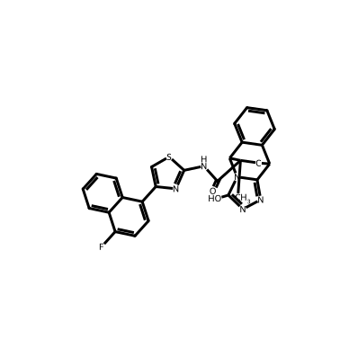 CC1(C(=O)Nc2nc(-c3ccc(F)c4ccccc34)cs2)CC2c3ccccc3C1n1c(O)nnc12